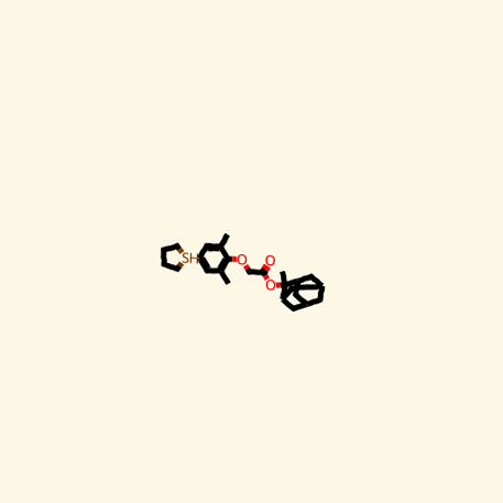 Cc1cc([SH]2CCCC2)cc(C)c1OCC(=O)OC1(C)C2CC3CC(C2)CC1C3